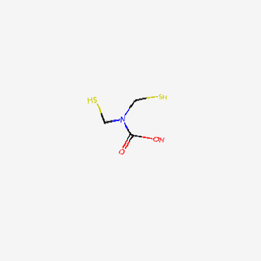 O=C(O)N(CS)CS